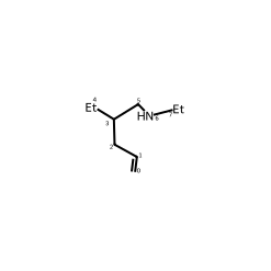 C=CCC(CC)CNCC